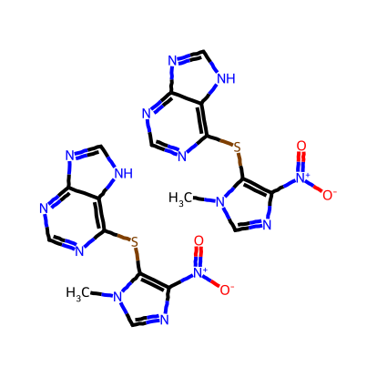 Cn1cnc([N+](=O)[O-])c1Sc1ncnc2nc[nH]c12.Cn1cnc([N+](=O)[O-])c1Sc1ncnc2nc[nH]c12